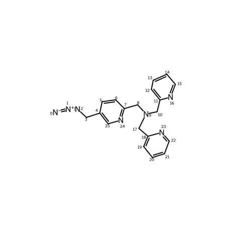 [N-]=[N+]=NCc1ccc(CN(Cc2ccccn2)Cc2ccccn2)nc1